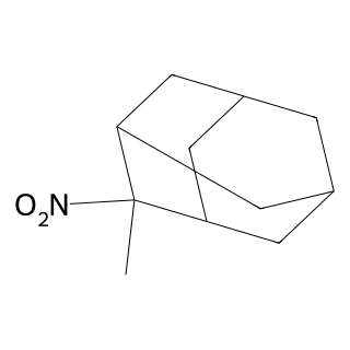 CC1([N+](=O)[O-])C2CC3CC(C2)CC1C3